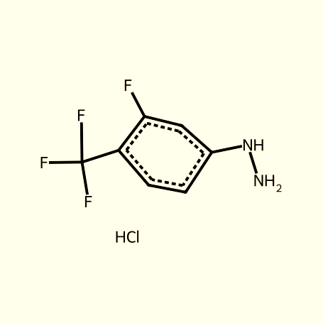 Cl.NNc1ccc(C(F)(F)F)c(F)c1